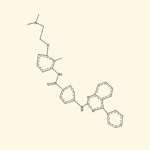 Cc1c(NC(=O)c2ccc(Nc3nc(-c4ccccc4)c4ccccc4n3)cc2)cccc1OCCN(C)C